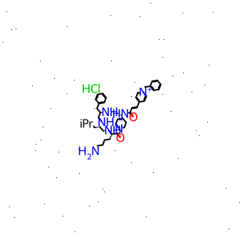 CC(C)C[C@H](CN[C@H](CCCCN)C(=O)N1CCC(NC(=O)/C=C/c2cc[n+](Cc3ccccc3)cc2)CC1)NC[C@H](N)Cc1ccccc1.Cl